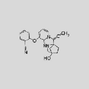 C=C=C(n1cccc(Oc2ccccc2C#N)c1=N)C12CCC(O)(CC1)C2